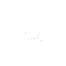 OC1[C@H](O)[C@@H](O)[C@H](O)[C@H](O)[C@@H]1O